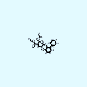 CCOC(=O)C(=CC1C=Nc2c(cccc2C2=CCCC=C2)O1)C(=O)OCC